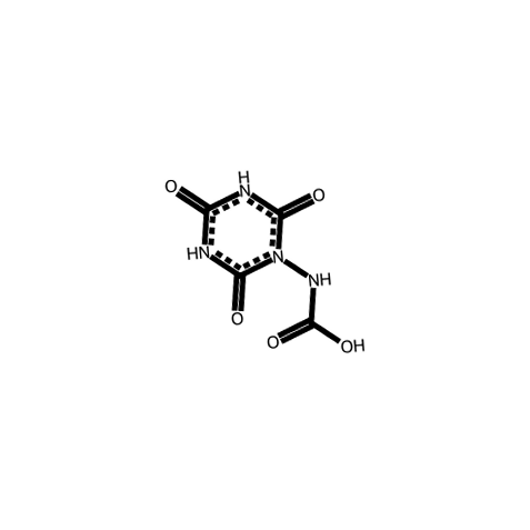 O=C(O)Nn1c(=O)[nH]c(=O)[nH]c1=O